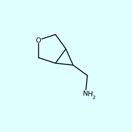 NCC1C2COCC12